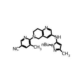 CCCCn1nc(C)cc1Nc1cnc2c(c1)CN(c1ncc(C#N)cc1C)CC2